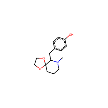 CN1CCCC2(OCCO2)C1Cc1ccc(O)cc1